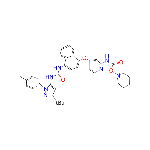 Cc1ccc(-n2nc(C(C)(C)C)cc2NC(=O)Nc2ccc(Oc3ccnc(NC(=O)ON4CCCCC4)c3)c3ccccc23)cc1